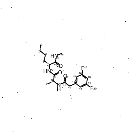 CCCC[C@H](NC(=O)[C@H](C)NC(=O)Cc1cc(F)cc(F)c1)C(=O)NC